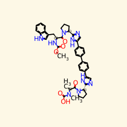 COC(=O)N[C@@H](Cc1c[nH]c2ccccc12)C(=O)N1CCC[C@H]1c1ncc(-c2ccc(-c3ccc(-c4cnc([C@@H]5CCCN5C(=O)[C@H](C)N(C)C(=O)O)[nH]4)cc3)cc2)[nH]1